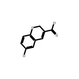 O=C(Cl)C1=Cc2cc(Cl)ccc2OC1